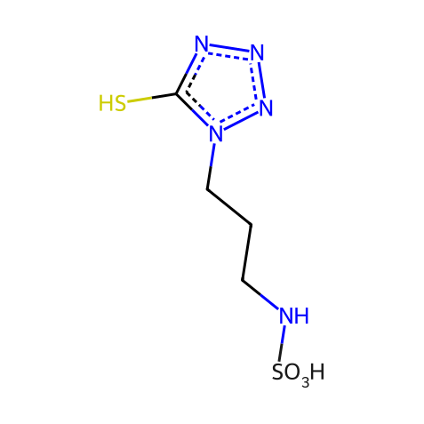 O=S(=O)(O)NCCCn1nnnc1S